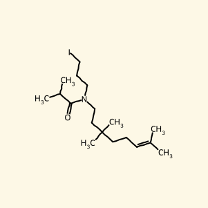 CC(C)=CCCC(C)(C)CCN(CCCI)C(=O)C(C)C